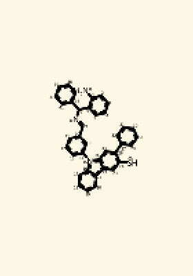 Nc1ccccc1C(/N=C/c1cccc(-n2c3ccccc3c3cc(S)c(-c4ccccc4)cc32)c1)c1ccccc1